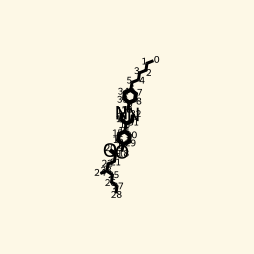 CCCCCCc1ccc(-c2ncc(-c3ccc(OC(=O)CCC(C)CCCC)cc3)cn2)cc1